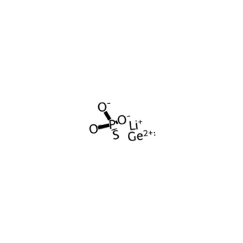 [Ge+2].[Li+].[O-]P([O-])([O-])=S